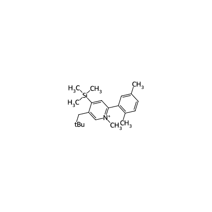 Cc1ccc(C)c(-c2cc([Si](C)(C)C)c(CC(C)(C)C)c[n+]2C)c1